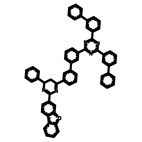 c1ccc(-c2cccc(-c3nc(-c4cccc(-c5ccccc5)c4)nc(-c4cccc(-c5cccc(C6=NC(c7ccc8c(c7)oc7ccccc78)=NC(c7ccccc7)C6)c5)c4)n3)c2)cc1